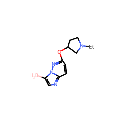 Bc1cnc2ccc(OC3CCN(CC)C3)nn12